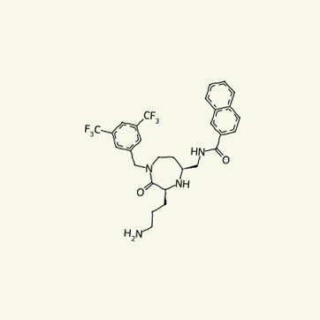 NCCC[C@@H]1N[C@H](CNC(=O)c2ccc3ccccc3c2)CCN(Cc2cc(C(F)(F)F)cc(C(F)(F)F)c2)C1=O